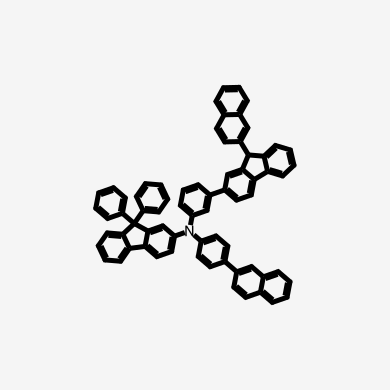 c1ccc(C2(c3ccccc3)c3ccccc3-c3ccc(N(c4ccc(-c5ccc6ccccc6c5)cc4)c4cccc(-c5ccc6c(c5)C(c5ccc7ccccc7c5)c5ccccc5-6)c4)cc32)cc1